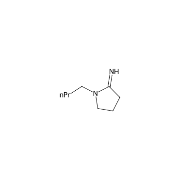 CCCCN1CCCC1=N